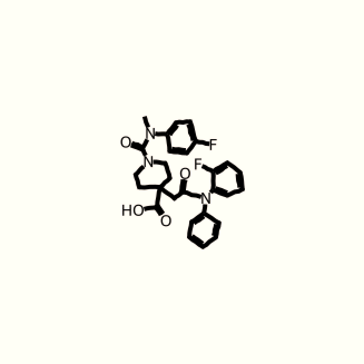 CN(C(=O)N1CCC(CC(=O)N(c2ccccc2)c2ccccc2F)(C(=O)O)CC1)c1ccc(F)cc1